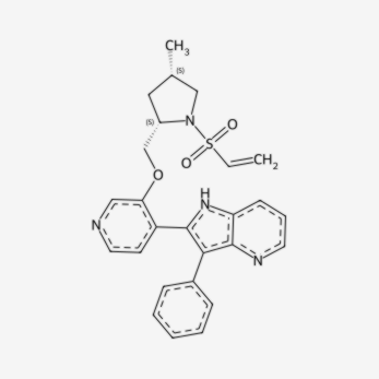 C=CS(=O)(=O)N1C[C@@H](C)C[C@H]1COc1cnccc1-c1[nH]c2cccnc2c1-c1ccccc1